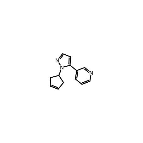 C1=CCC(n2nccc2-c2cccnc2)C1